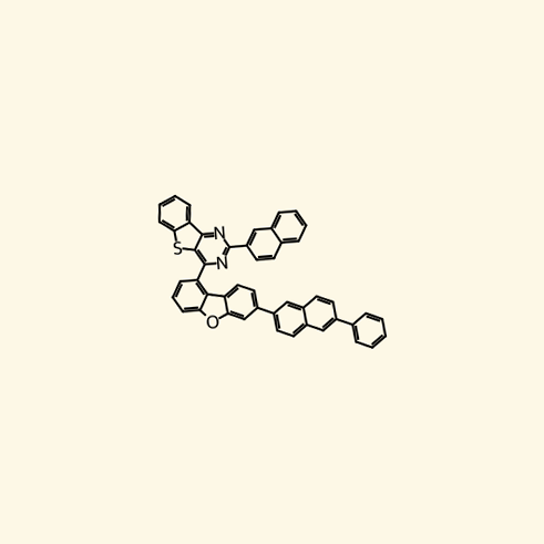 c1ccc(-c2ccc3cc(-c4ccc5c(c4)oc4cccc(-c6nc(-c7ccc8ccccc8c7)nc7c6sc6ccccc67)c45)ccc3c2)cc1